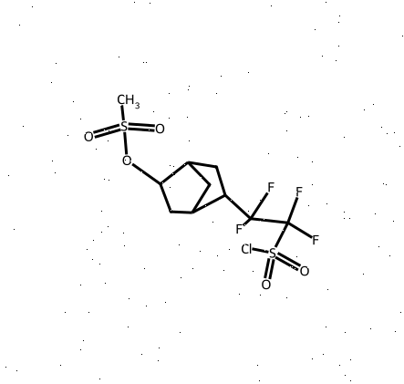 CS(=O)(=O)OC1CC2CC1CC2C(F)(F)C(F)(F)S(=O)(=O)Cl